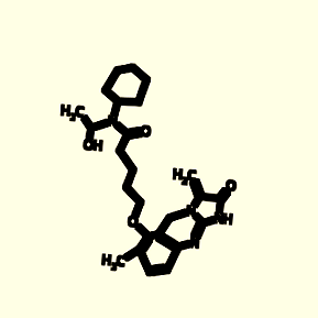 C=c1c(=O)[nH]c2n1Cc1c(ccc(C)c1OCCCCC(=O)N(C(C)O)C1CCCCC1)N=2